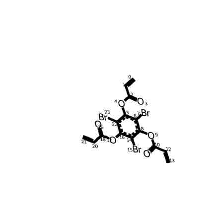 C=CC(=O)Oc1c(Br)c(OC(=O)C=C)c(Br)c(OC(=O)C=C)c1Br